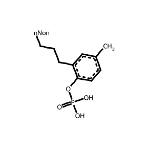 CCCCCCCCCCCCc1cc(C)ccc1OP(=O)(O)O